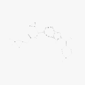 Cl.NC(c1nc2ccc([C@@H](NC(=O)CC3CC(F)(F)C3)C3CC3)cc2[nH]1)C1CCC(F)(F)CC1